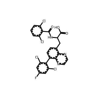 O=C(NC(Cc1ccc(-c2c(Cl)cc(F)cc2Cl)c2nccnc12)C(=O)O)c1c(Cl)cccc1Cl